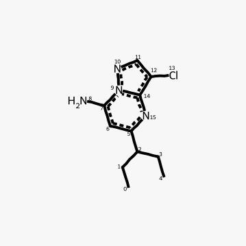 CCC(CC)c1cc(N)n2ncc(Cl)c2n1